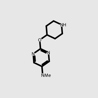 CNc1cnc(OC2CCNCC2)nc1